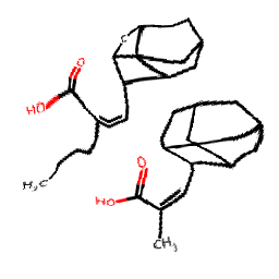 CC(=CC1C2CC3CC(C2)CC1C3)C(=O)O.CCCC(=CC1C2CC3CC(C2)CC1C3)C(=O)O